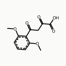 COc1cccc(OC)c1C(=O)CC(=O)C(=O)O